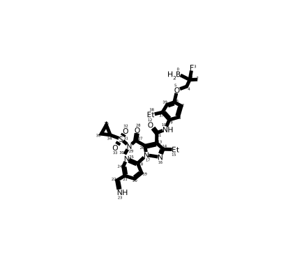 BC(C)(F)COc1ccc(NC(=O)c2c(CC)nn(-c3ccc(C=N)cn3)c2C(=O)N(C)S(=O)(=O)C2CC2)c(CC)c1